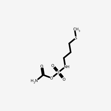 CSCCCNS(=O)(=O)OC(N)=O